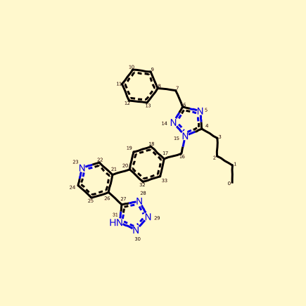 CCCCc1nc(Cc2ccccc2)nn1Cc1ccc(-c2cnccc2-c2nnn[nH]2)cc1